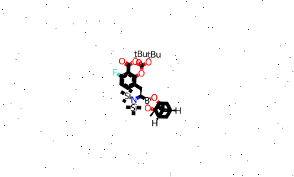 CC(C)(C)OC(=O)Oc1c(C[C@@H](B2OC3C[C@@H]4C[C@@H](C4(C)C)[C@]3(C)O2)N([Si](C)(C)C)[Si](C)(C)C)ccc(F)c1C(=O)OC(C)(C)C